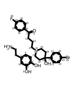 NCCc1ccc(O)c(O)c1.O=C(CCCN1CCC(O)(c2ccc(Br)cc2)CC1)c1ccc(F)cc1